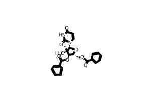 C[C@]1(F)[C@H](OC(=O)c2ccccc2)[C@@H](COC(=O)c2ccccc2)O[C@H]1n1ccc(=O)[nH]c1=O